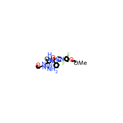 COCCOc1cc(F)c(N2CCN(C(=O)C(c3ccccc3)N3NC(C)c4c3nc(N)n3nc(-c5ccco5)nc43)CC2)cc1F